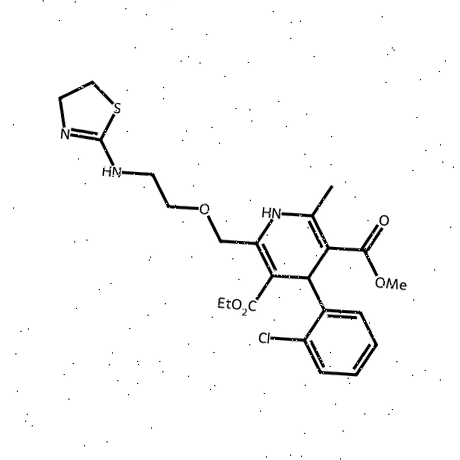 CCOC(=O)C1=C(COCCNC2=NCCS2)NC(C)=C(C(=O)OC)C1c1ccccc1Cl